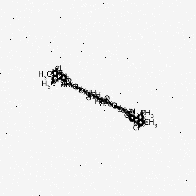 Cc1cc(Cl)cc2c1CN(C)CC2c1cc(S(=O)(=O)NCCOCCOCCNC(=O)NCCCCNC(=O)NCCOCCOCCNS(=O)(=O)c2ccc(F)c(C3CN(C)Cc4c(C)cc(Cl)cc43)c2)ccc1F